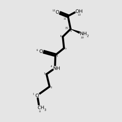 COCCNC(=O)CC[C@H](N)C(=O)O